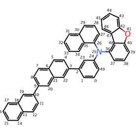 c1cc(-c2ccc3ccc(-c4ccc5ccccc5c4)cc3c2)cc(N(c2cccc3ccccc23)c2cccc3oc4ccccc4c23)c1